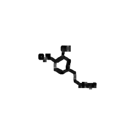 CCCCCCCCCc1ccc([N+](=O)[O-])c(O)c1